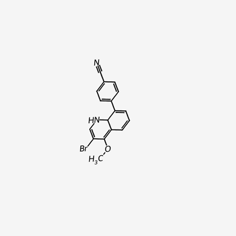 COC1=C2C=CC=C(c3ccc(C#N)cc3)C2NC=C1Br